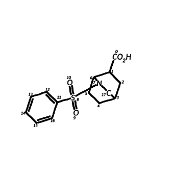 O=C(O)C1CC2CCC1N(S(=O)(=O)c1ccccc1)C2